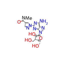 CNC(=O)c1cnn(-c2nc(N)c3ncn([C@@H]4O[C@H](CO)C(CO)[C@@H]4O)c3n2)c1